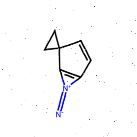 [N-]=[N+]1C2=C1C1(C=C2)CC1